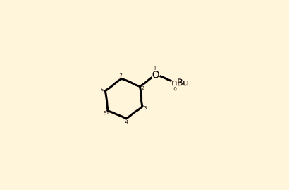 CCCCOC1CC[CH]CC1